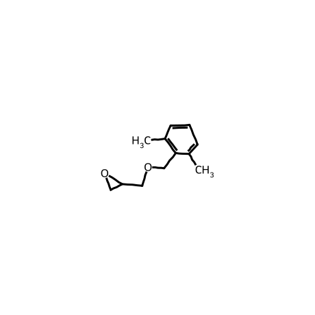 Cc1cccc(C)c1COCC1CO1